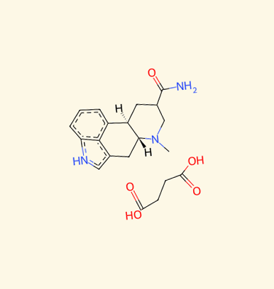 CN1CC(C(N)=O)C[C@@H]2c3cccc4[nH]cc(c34)C[C@H]21.O=C(O)CCC(=O)O